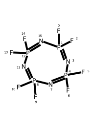 FP1(F)=NP(F)(F)=NP(F)(F)=NP(F)(F)=N1